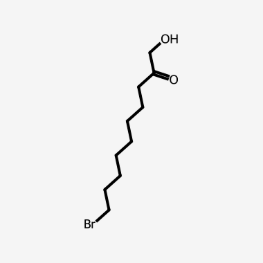 O=C(CO)CCCCCCCCBr